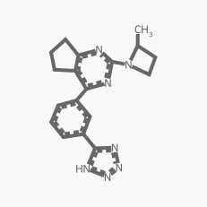 CC1CCN1c1nc2c(c(-c3cccc(-c4nnn[nH]4)c3)n1)CCC2